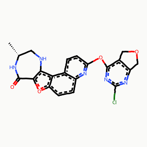 C[C@@H]1CNc2c(oc3ccc4nc(Oc5nc(Cl)nc6c5COC6)ccc4c23)C(=O)N1